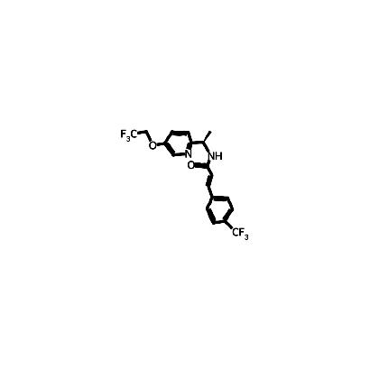 C[C@@H](NC(=O)/C=C/c1ccc(C(F)(F)F)cc1)c1ccc(OCC(F)(F)F)cn1